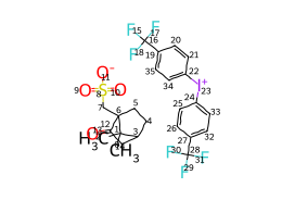 CC1(C)C2CCC1(CS(=O)(=O)[O-])C(=O)C2.FC(F)(F)c1ccc([I+]c2ccc(C(F)(F)F)cc2)cc1